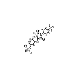 CC(C)(C)c1ccc(N2C(=O)N(Cc3ccnc(CC(N)=O)c3)C(C)(C)C2=O)cc1